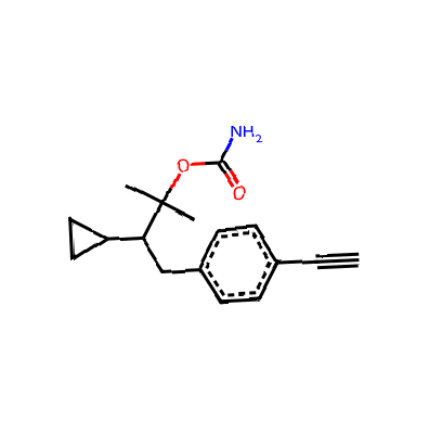 C#Cc1ccc(CC(C2CC2)C(C)(C)OC(N)=O)cc1